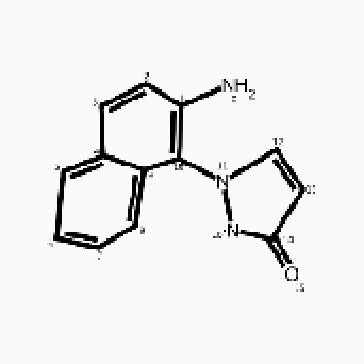 Nc1ccc2ccccc2c1N1C=CC(=O)[N]1